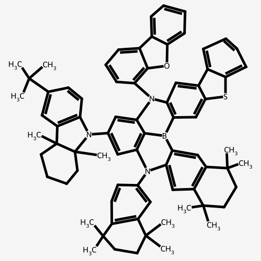 CC(C)(C)c1ccc2c(c1)C1(C)CCCCC1(C)N2c1cc2c3c(c1)N(c1cccc4c1oc1ccccc14)c1cc4c(cc1B3c1cc3c(cc1N2c1ccc2c(c1)C(C)(C)CCC2(C)C)C(C)(C)CCC3(C)C)sc1ccccc14